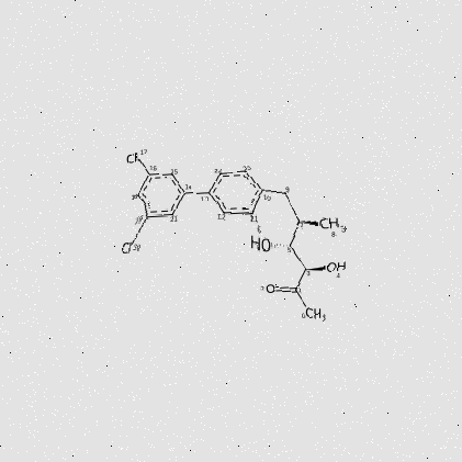 CC(=O)[C@H](O)[C@H](O)[C@H](C)Cc1ccc(-c2cc(Cl)cc(Cl)c2)cc1